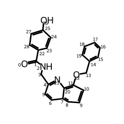 O=C(NCc1ccc2cccc(OCc3ccccc3)c2n1)c1ccc(O)cc1